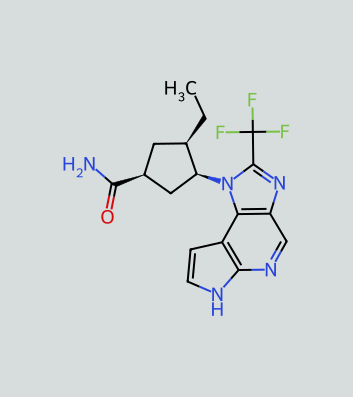 CC[C@@H]1C[C@H](C(N)=O)C[C@@H]1n1c(C(F)(F)F)nc2cnc3[nH]ccc3c21